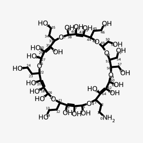 NCCC1OC(O)/C(O)=C(/O)C(CCO)OC(O)/C(O)=C(/O)C(CCO)OC(O)/C(O)=C(\O)C(CCO)OC(O)/C(O)=C(/O)C(CCO)OC(CO)OC(CO)C(CO)OC(O)/C(O)=C/1O